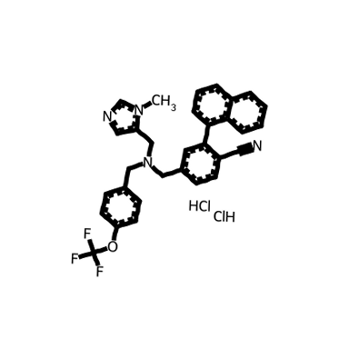 Cl.Cl.Cn1cncc1CN(Cc1ccc(OC(F)(F)F)cc1)Cc1ccc(C#N)c(-c2cccc3ccccc23)c1